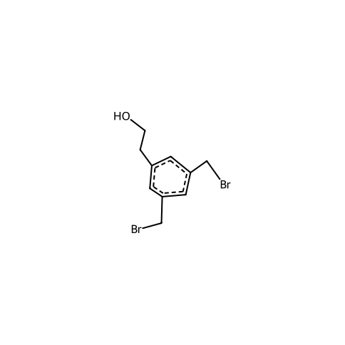 OCCc1cc(CBr)cc(CBr)c1